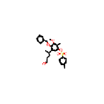 COc1c(C)c(OS(=O)(=O)c2ccc(C)cc2)cc(C(C)CCC=O)c1OCc1ccccc1